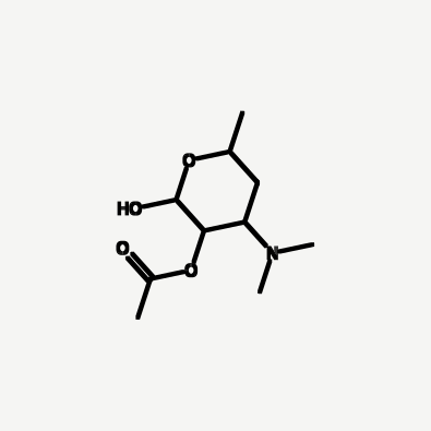 CC(=O)OC1C(O)OC(C)CC1N(C)C